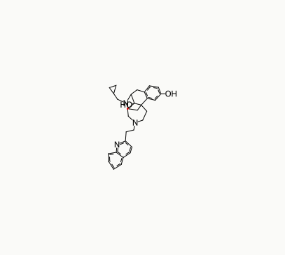 Oc1ccc2c(c1)C13CCN(CCc4ccc5ccccc5n4)CCC1(O)C(C2)N(CC1CC1)CC3